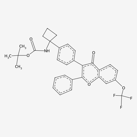 CC(C)(C)OC(=O)NC1(c2ccc(-c3c(-c4ccccc4)oc4cc(OC(F)(F)F)ccc4c3=O)cc2)CCC1